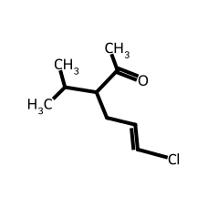 CC(=O)C(C/C=C/Cl)C(C)C